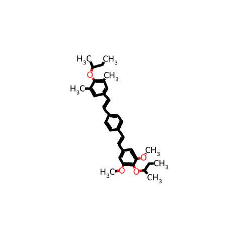 CCC(C)Oc1c(C)cc(C=Cc2ccc(C=Cc3cc(OC)c(OC(C)CC)c(OC)c3)cc2)cc1C